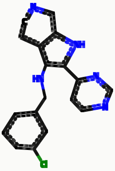 Clc1cccc(CNc2c(-c3ccncn3)[nH]c3cnccc23)c1